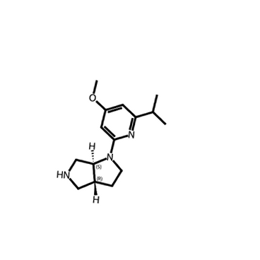 COc1cc(C(C)C)nc(N2CC[C@@H]3CNC[C@H]32)c1